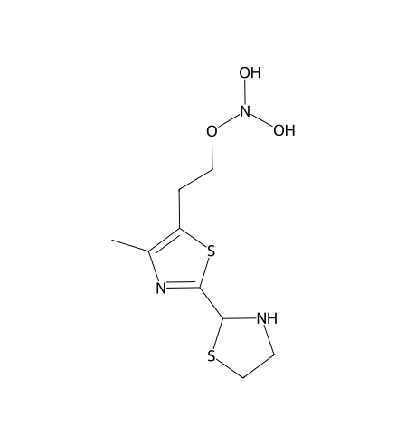 Cc1nc(C2NCCS2)sc1CCON(O)O